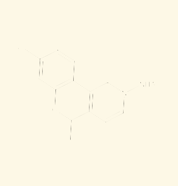 CC(=O)NN1C=CC2=C(C1)c1ccc(Cl)cc1OC2C